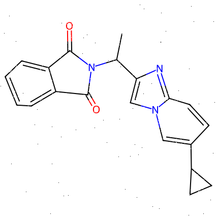 CC(c1cn2cc(C3CC3)ccc2n1)N1C(=O)c2ccccc2C1=O